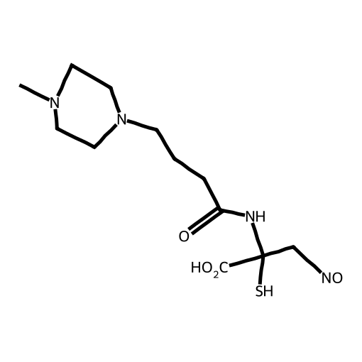 CN1CCN(CCCC(=O)NC(S)(CN=O)C(=O)O)CC1